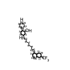 Oc1cc(NCCCCCCSc2ccnc3cc(C(F)(F)F)ccc23)ccc1N1CCNCC1